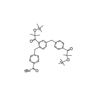 CC(C)(C)C(=O)c1ccc(Cc2ccc(Cc3ccc(C(=O)C(C)(C)O[Si](C)(C)C)cc3)cc2C(=O)C(C)(C)O[Si](C)(C)C)cc1